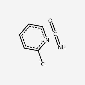 Clc1ccccn1.N=C=O